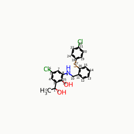 CC(O)c1cc(Cl)cc(NCc2ccccc2Sc2ccc(Cl)cc2)c1O